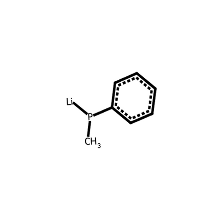 [Li][P](C)c1ccccc1